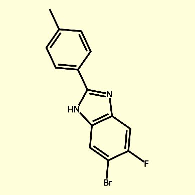 Cc1ccc(-c2nc3cc(F)c(Br)cc3[nH]2)cc1